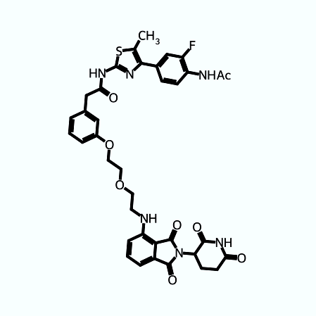 CC(=O)Nc1ccc(-c2nc(NC(=O)Cc3cccc(OCCOCCNc4cccc5c4C(=O)N(C4CCC(=O)NC4=O)C5=O)c3)sc2C)cc1F